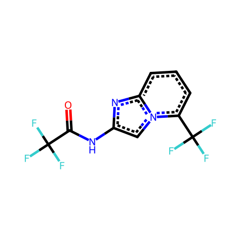 O=C(Nc1cn2c(C(F)(F)F)cccc2n1)C(F)(F)F